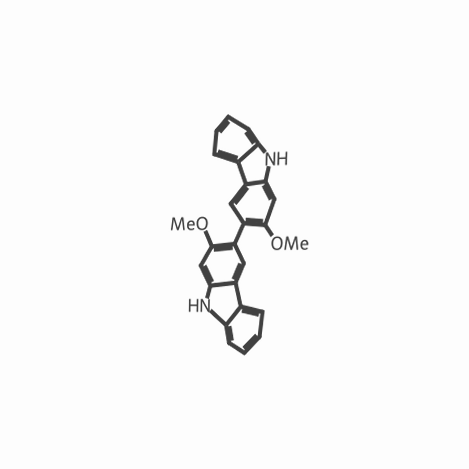 COc1cc2[nH]c3ccccc3c2cc1-c1cc2c(cc1OC)[nH]c1ccccc12